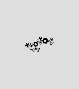 CN(C)C(=O)[C@H]1C[C@@H](OS(=O)(=O)c2ccc([N+](=O)[O-])cc2)CN1C(=O)OC(C)(C)C